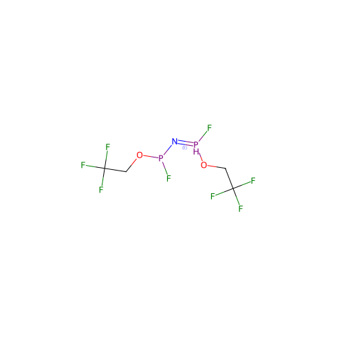 FP(/N=[PH](/F)OCC(F)(F)F)OCC(F)(F)F